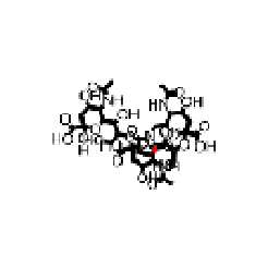 CC(=O)NC1C(O)CC(OC(CO)C(O)C2OC(OC(CO)C(O)C3OC(O)(C(=O)O)CC(O)C3NC(C)=O)(C(=O)O)CC(O)C2NC(C)=O)(C(=O)O)OC1CN1C(=O)C=CC1=O